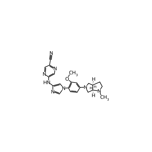 COc1cc(N2C[C@H]3CCN(C)[C@H]3C2)ccc1-n1cnc(Nc2cnc(C#N)cn2)c1